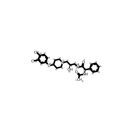 CC(=O)N[C@@H](C(=O)NC[C@@H](O)CN1CCC(Oc2ccc(Cl)c(Cl)c2)CC1)c1ccccc1